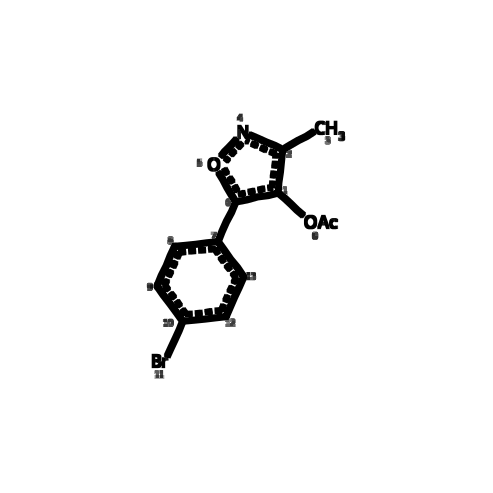 CC(=O)Oc1c(C)noc1-c1ccc(Br)cc1